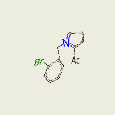 CC(=O)c1cccn1Cc1ccccc1Br